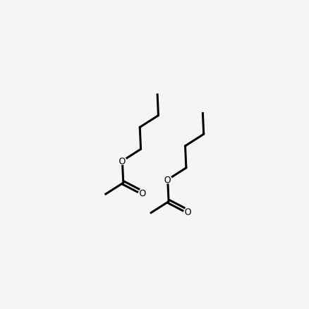 CCCCOC(C)=O.CCCCOC(C)=O